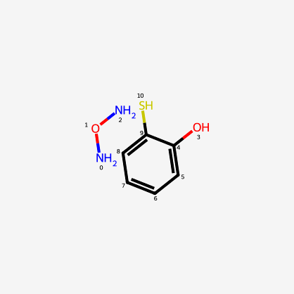 NON.Oc1ccccc1S